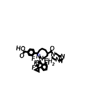 C=C1CC(C(=O)N2CCn3ncnc3C2)CCC/C(c2ccc(C(=O)O)cc2F)=N\N1C(=O)c1c(Cl)cccc1C1(C(F)(F)F)CC1